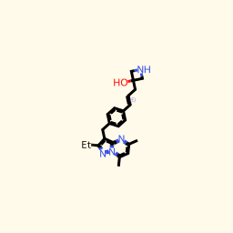 CCc1nn2c(C)cc(C)nc2c1Cc1ccc(/C=C/CC2(O)CNC2)cc1